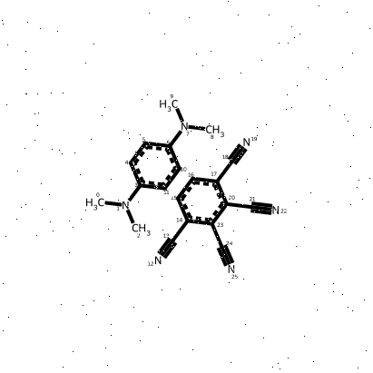 CN(C)c1ccc(N(C)C)cc1.N#Cc1ccc(C#N)c(C#N)c1C#N